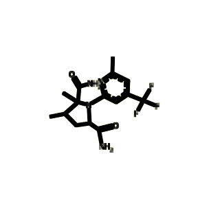 Cc1cc(C(F)(F)F)cc(N2C(C(N)=O)CC(C)C2(C)C(N)=O)n1